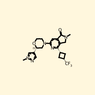 CN1Cc2c(cc(N3CCO[C@@H](c4cnn(C)c4)C3)nc2[C@H]2C[C@@H](C(F)(F)F)C2)C1=O